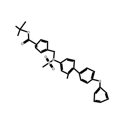 Cc1cc(N(Cc2ccc(C(=O)OC(C)(C)C)cc2)S(C)(=O)=O)ccc1-c1ccc(Oc2ccccc2)cc1